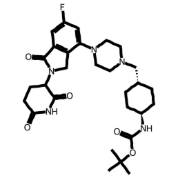 CC(C)(C)OC(=O)N[C@H]1CC[C@H](CN2CCN(c3cc(F)cc4c3CN(C3CCC(=O)NC3=O)C4=O)CC2)CC1